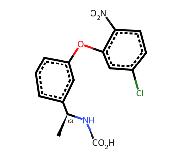 C[C@H](NC(=O)O)c1cccc(Oc2cc(Cl)ccc2[N+](=O)[O-])c1